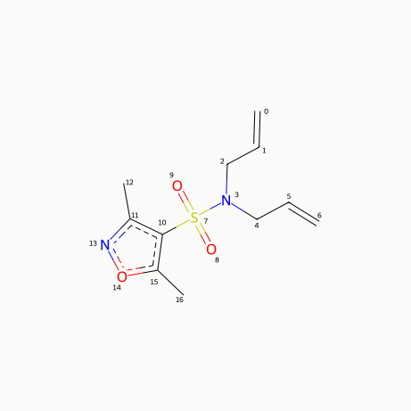 C=CCN(CC=C)S(=O)(=O)c1c(C)noc1C